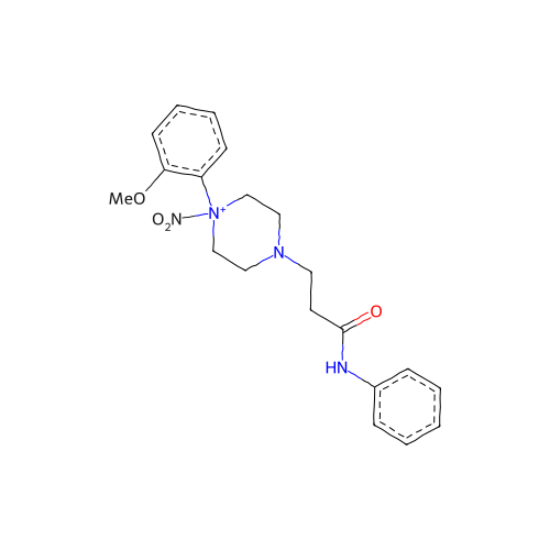 COc1ccccc1[N+]1([N+](=O)[O-])CCN(CCC(=O)Nc2ccccc2)CC1